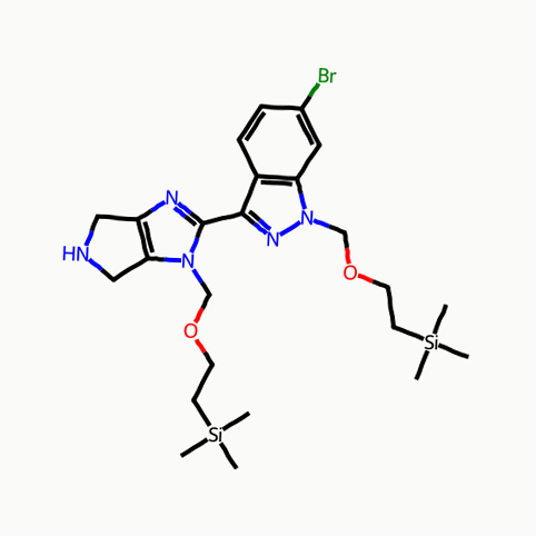 C[Si](C)(C)CCOCn1c(-c2nn(COCC[Si](C)(C)C)c3cc(Br)ccc23)nc2c1CNC2